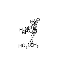 CC(C(=O)O)N1CCC(C2CCN(C(=O)C(CC(=O)N3CCC(N4Cc5ccccc5NC4=O)CC3)Cc3cc(Cl)c(N)c(C(F)(F)F)c3)CC2)CC1